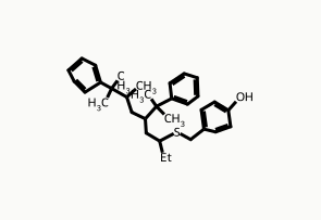 CCC(CC(CC(C)C(C)(C)c1ccccc1)C(C)(C)c1ccccc1)SCc1ccc(O)cc1